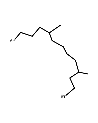 CC(=O)CCCC(C)CCCCC(C)CCC(C)C